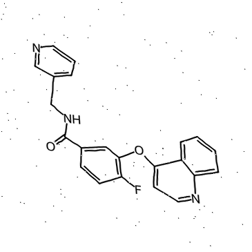 O=C(NCc1cccnc1)c1ccc(F)c(Oc2ccnc3ccccc23)c1